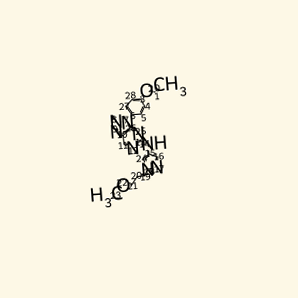 CCOc1ccc(-n2nnc3cnc(Nc4cnn(CCCOC)c4)nc32)cc1